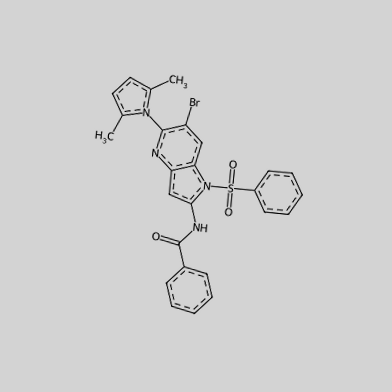 Cc1ccc(C)n1-c1nc2cc(NC(=O)c3ccccc3)n(S(=O)(=O)c3ccccc3)c2cc1Br